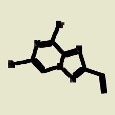 C=Cc1nc2c(Br)nc(Br)cn2n1